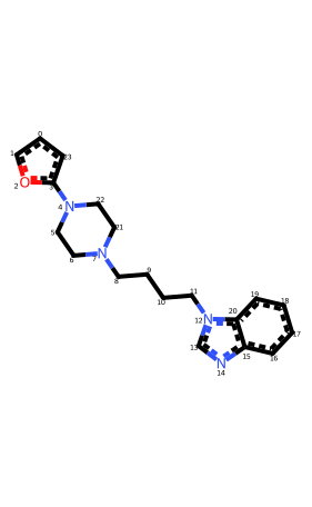 c1coc(N2CCN(CCCCn3cnc4ccccc43)CC2)c1